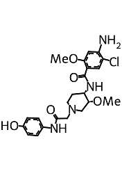 COc1cc(N)c(Cl)cc1C(=O)N[C@@H]1CCN(CC(=O)Nc2ccc(O)cc2)C[C@@H]1OC